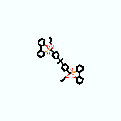 C=CCOC(c1ccc(C(C)(C)c2ccc(C(OCC=C)P3(=O)Oc4ccccc4-c4ccccc43)cc2)cc1)P1(=O)Oc2ccccc2-c2ccccc21